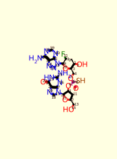 C[C@@H](O)[C@@H](COP(=O)(S)O[C@H]1C[C@@H](CO)O[C@H]1n1cnc2c(=O)[nH]c(N)nc21)O[C@H](CF)n1nnc2c(N)ncnc21